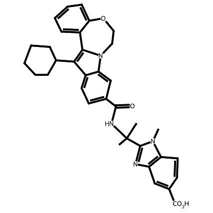 Cn1c(C(C)(C)NC(=O)c2ccc3c(C4CCCCC4)c4n(c3c2)CCOc2ccccc2-4)nc2cc(C(=O)O)ccc21